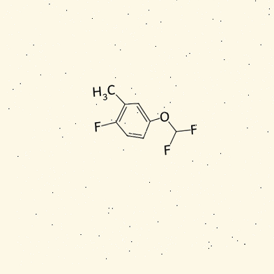 Cc1cc(OC(F)F)ccc1F